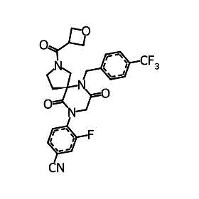 N#Cc1ccc(N2CC(=O)N(Cc3ccc(C(F)(F)F)cc3)[C@]3(CCN(C(=O)C4COC4)C3)C2=O)c(F)c1